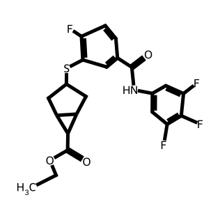 CCOC(=O)C1C2CC(Sc3cc(C(=O)Nc4cc(F)c(F)c(F)c4)ccc3F)CC21